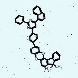 CC1(C)c2ccccc2-c2c1ccc1c2Oc2cc(-c3ccc(-c4cc(-c5cccc6ccccc56)nc(-c5ccccc5)n4)cc3)ccc2O1